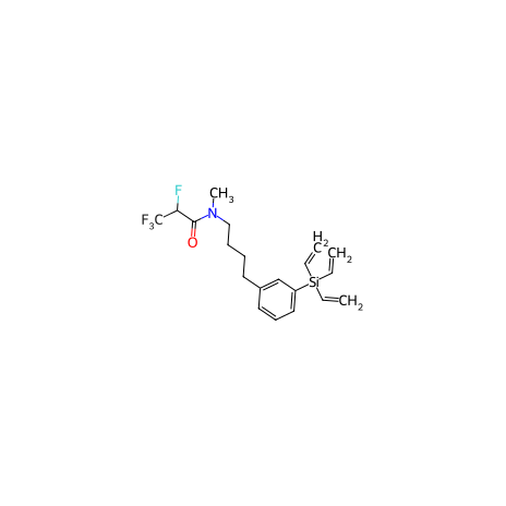 C=C[Si](C=C)(C=C)c1cccc(CCCCN(C)C(=O)C(F)C(F)(F)F)c1